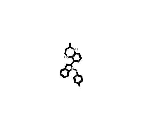 C=C1CCNc2c(cccc2-c2cc3ccccc3n2Sc2ccc(F)cc2)N1